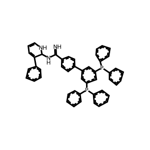 N=C(NC1NC=CC=C1c1ccccc1)c1ccc(-c2cc(P(c3ccccc3)c3ccccc3)cc(P(c3ccccc3)c3ccccc3)c2)cc1